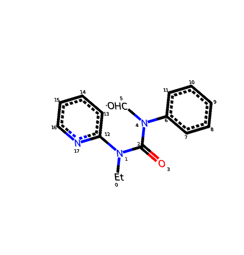 CCN(C(=O)N([C]=O)c1ccccc1)c1ccccn1